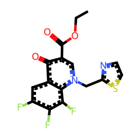 CCOC(=O)c1cn(Cc2nccs2)c2c(F)c(F)c(F)cc2c1=O